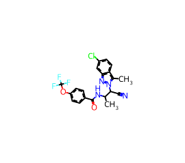 Cc1c2ccc(Cl)cc2nn1C(C#N)C(C)NC(=O)c1ccc(OC(F)(F)F)cc1